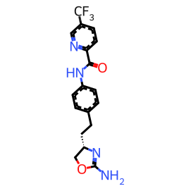 NC1=N[C@@H](CCc2ccc(NC(=O)c3ccc(C(F)(F)F)cn3)cc2)CO1